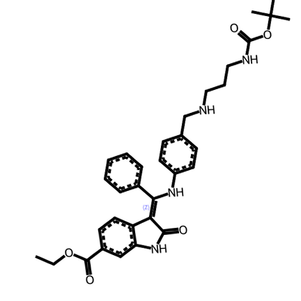 CCOC(=O)c1ccc2c(c1)NC(=O)/C2=C(\Nc1ccc(CNCCCNC(=O)OC(C)(C)C)cc1)c1ccccc1